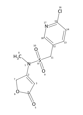 CN(C1=CC(=O)OC1)S(=O)(=O)Cc1ccc(Cl)nc1